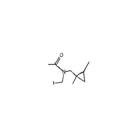 CC(=O)N(CI)CC1(C)CC1C